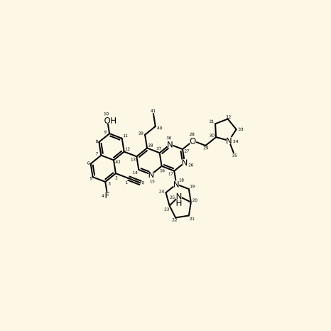 C#Cc1c(F)ccc2cc(O)cc(-c3cnc4c(N5CC6CCC(C5)N6)nc(OCC5CCCN5C)nc4c3CCC)c12